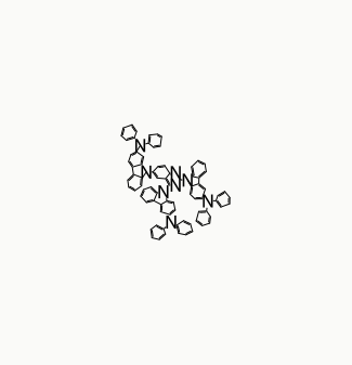 c1ccc(N(c2ccccc2)c2ccc3c(c2)c2ccccc2n3-c2nc(-n3c4ccccc4c4cc(N(c5ccccc5)c5ccccc5)ccc43)c3cc(-n4c5ccccc5c5ccc(N(c6ccccc6)c6ccccc6)cc54)ccc3n2)cc1